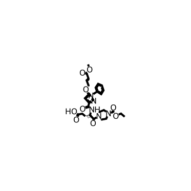 CCOC(=O)N1CCN(C(=O)[C@H](CCC(=O)O)NC(=O)c2cc(OCC=CC(=O)OC)n(-c3ccccc3)n2)CC1